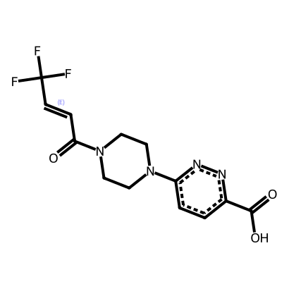 O=C(O)c1ccc(N2CCN(C(=O)/C=C/C(F)(F)F)CC2)nn1